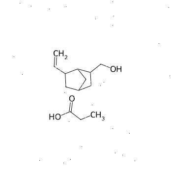 C=CC1CC2CC(CO)C1C2.CCC(=O)O